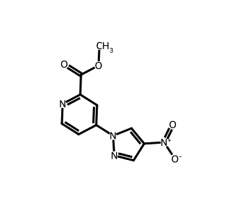 COC(=O)c1cc(-n2cc([N+](=O)[O-])cn2)ccn1